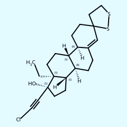 CC[C@]12CC[C@H]3[C@@H](CCC4=CC5(CCSS5)CC[C@@H]43)[C@@H]1CC[C@@]2(O)C#CCl